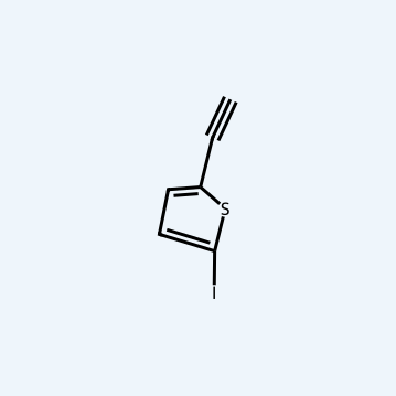 C#Cc1ccc(I)s1